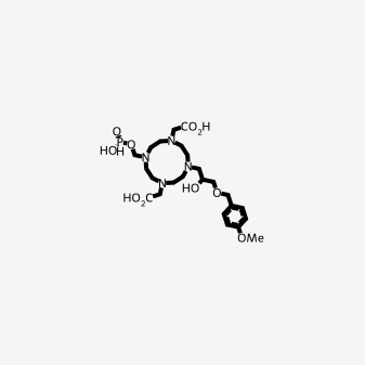 COc1ccc(COCC(O)CN2CCN(CC(=O)O)CCN(CO[PH](=O)O)CCN(CC(=O)O)CC2)cc1